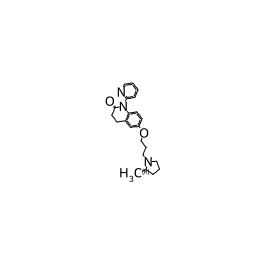 C[C@@H]1CCCN1CCCOc1ccc2c(c1)CCC(=O)N2c1ccccn1